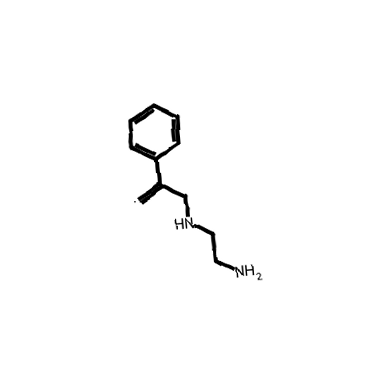 [CH]=C(CNCCN)c1ccccc1